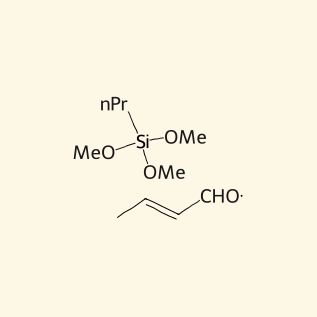 CC=C[C]=O.[CH2]CC[Si](OC)(OC)OC